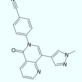 Cn1cc(-c2cn(-c3ccc(C#N)cc3)c(=O)c3cccnc23)cn1